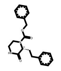 O=C1NCCN(C(=O)OCc2ccccc2)[C@@H]1CCc1ccccc1